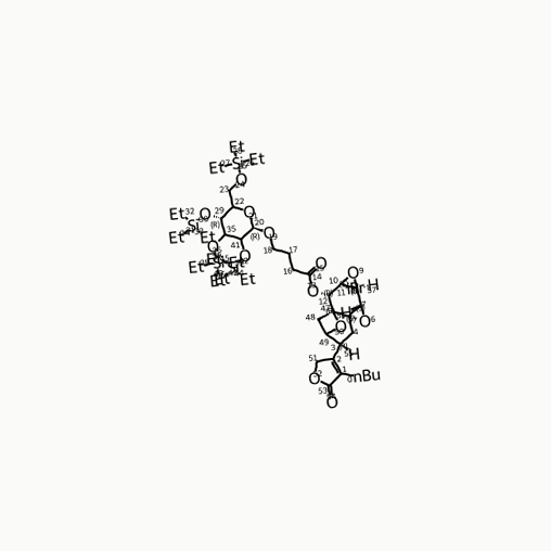 CCCCC1=C([C@H]2C[C@]34O[C@H]3[C@@H]3O[C@]3(C(C)C)[C@@H](OC(=O)CCCO[C@@H]3OC(CO[Si](CC)(CC)CC)[C@@H](O[Si](CC)(CC)CC)C(O[Si](CC)(CC)CC)C3O[Si](CC)(CC)CC)[C@]43CC2O3)COC1=O